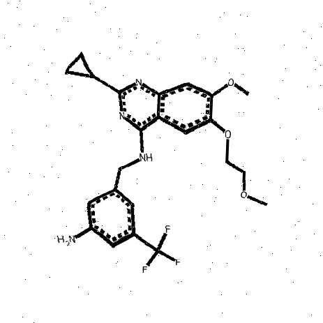 COCCOc1cc2c(NCc3cc(N)cc(C(F)(F)F)c3)nc(C3CC3)nc2cc1OC